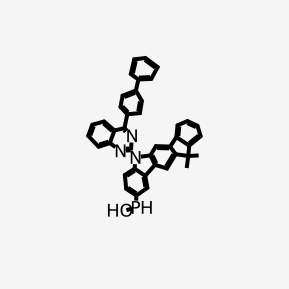 CC1(C)c2ccccc2-c2cc3c(cc21)c1cc(PO)ccc1n3-c1nc(-c2ccc(-c3ccccc3)cc2)c2ccccc2n1